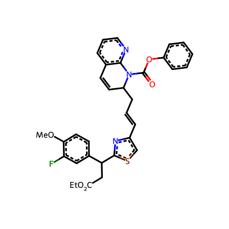 CCOC(=O)CC(c1ccc(OC)c(F)c1)c1nc(/C=C/CC2C=Cc3cccnc3N2C(=O)Oc2ccccc2)cs1